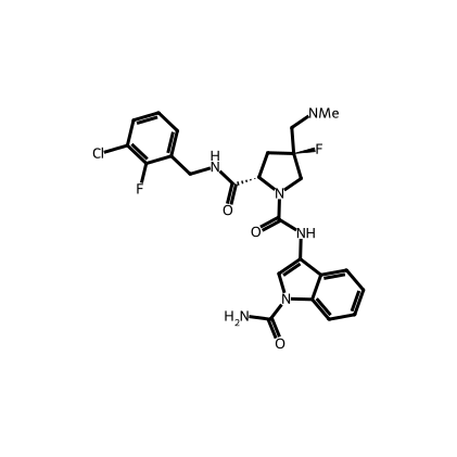 CNC[C@@]1(F)C[C@@H](C(=O)NCc2cccc(Cl)c2F)N(C(=O)Nc2cn(C(N)=O)c3ccccc23)C1